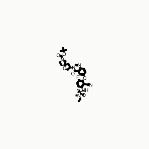 CCN(C)S(=O)(=O)Nc1ccc(F)c(Oc2ccc3ncn([C@@H]4CO[C@@]5(CCN(C(=O)OC(C)(C)C)C5)C4)c(=O)c3c2)c1C#N